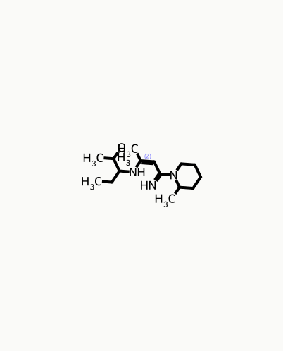 CCC(N/C(C)=C\C(=N)N1CCCCC1C)C(C)C